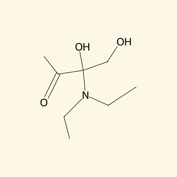 CCN(CC)C(O)(CO)C(C)=O